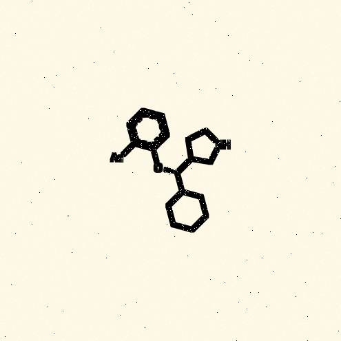 CC(=O)c1ccccc1O[C@@H](C1CCCCC1)C1CCNC1